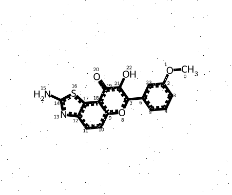 COc1cccc(-c2oc3ccc4nc(N)sc4c3c(=O)c2O)c1